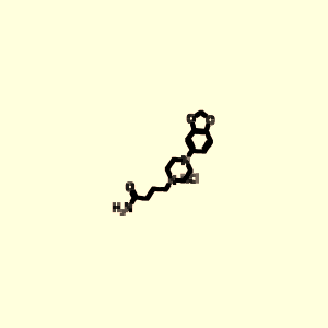 Cl.NC(=O)CCCN1CCN(c2ccc3c(c2)OCO3)CC1